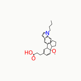 CCCCn1ccc2cc(C3C=C(CCC(=O)O)C=CC3(OC)C3CCCC3)ccc21